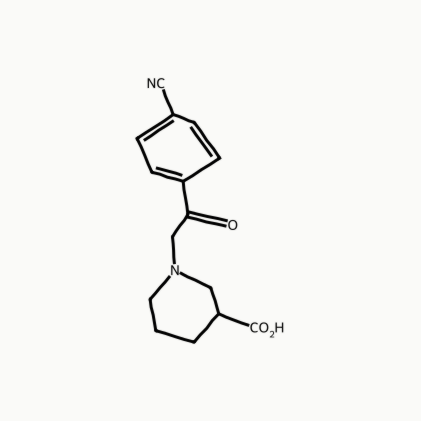 N#Cc1ccc(C(=O)CN2CCCC(C(=O)O)C2)cc1